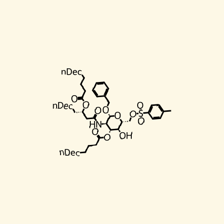 CCCCCCCCCCCCCC(=O)O[C@@H](CCCCCCCCCCC)CC(=O)N[C@H]1[C@H](OCc2ccccc2)O[C@H](COS(=O)(=O)c2ccc(C)cc2)[C@@H](O)[C@@H]1OC(=O)CCCCCCCCCCCCC